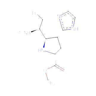 CC(=O)N[C@@H](CC(C)C)[C@@H]1N[C@@H](C(=O)OC(C)(C)C)C[C@H]1c1ncc[nH]1